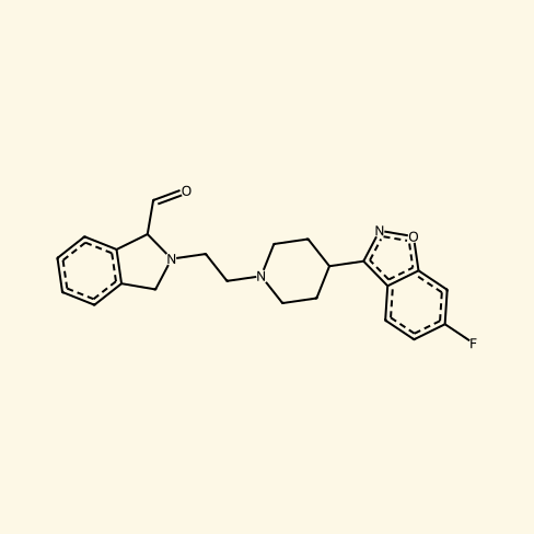 O=CC1c2ccccc2CN1CCN1CCC(c2noc3cc(F)ccc23)CC1